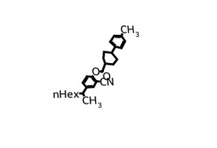 CCCCCCC(C)c1ccc(OC(=O)C2CCC(c3ccc(C)cc3)CC2)c(C#N)c1